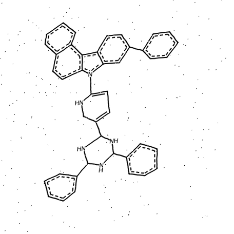 C1=C(C2NC(c3ccccc3)NC(c3ccccc3)N2)CNC(n2c3cc(-c4ccccc4)ccc3c3c4ccccc4ccc32)=C1